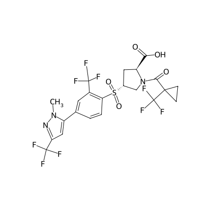 Cn1nc(C(F)(F)F)cc1-c1ccc(S(=O)(=O)[C@@H]2C[C@@H](C(=O)O)N(C(=O)C3(C(F)(F)F)CC3)C2)c(C(F)(F)F)c1